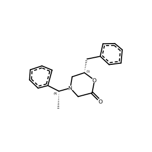 C[C@H](c1ccccc1)N1CC(=O)O[C@@H](Cc2ccccc2)C1